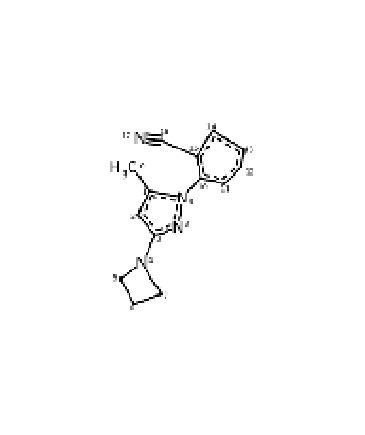 Cc1cc(N2CCC2)nn1-c1ccccc1C#N